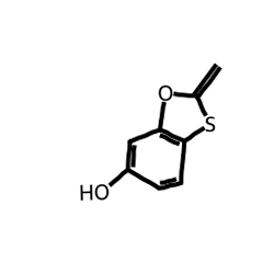 C=C1Oc2cc(O)ccc2S1